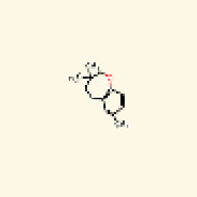 Cc1ccc2c(c1)CCC(C)(C)CO2